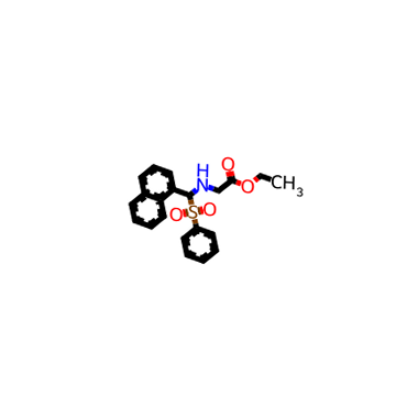 CCOC(=O)CNC(c1cccc2ccccc12)S(=O)(=O)c1ccccc1